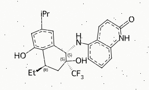 CC[C@@H]1C[C@@](O)(C(F)(F)F)[C@@H](Nc2cccc3[nH]c(=O)ccc23)c2cc(C(C)C)cc(O)c21